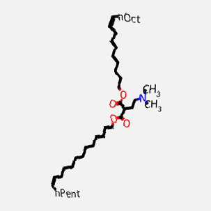 CCCCC/C=C\CCCCCCCCCCCOC(=O)C(CCN(C)C)C(=O)OCCCCCCCC/C=C\CCCCCCCC